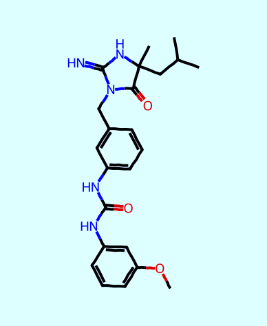 COc1cccc(NC(=O)Nc2cccc(CN3C(=N)NC(C)(CC(C)C)C3=O)c2)c1